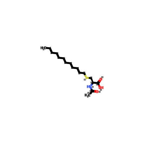 CCCCCCCCCCCCSC[C@H](NC(C)=O)C(=O)O